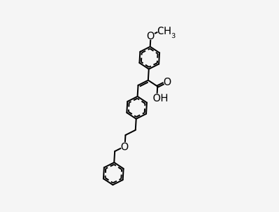 COc1ccc(C(=Cc2ccc(CCOCc3ccccc3)cc2)C(=O)O)cc1